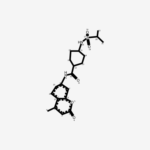 Cc1cc(=O)oc2cc(NC(=O)C3CCC(NS(=O)(=O)C(C)C)CC3)ccc12